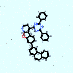 c1ccc(-c2nc(-c3ccccc3)nc(-c3ccnc4oc5cc(-c6ccc7ccc8ccccc8c7c6)ccc5c34)n2)cc1